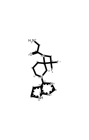 NCC(=O)N1CC(F)(F)C12CCCN(c1ncnc3[nH]ccc13)C2